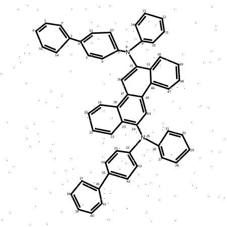 c1ccc(-c2ccc(N(c3ccccc3)c3cc4c5ccccc5c(N(c5ccccc5)c5ccc(-c6ccccc6)cc5)cc4c4ccccc34)cc2)cc1